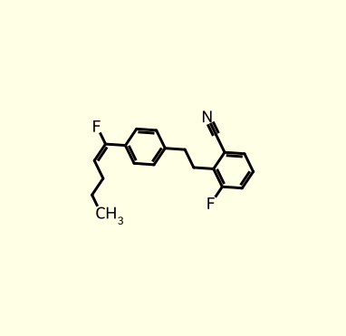 CCC/C=C(/F)c1ccc(CCc2c(F)cccc2C#N)cc1